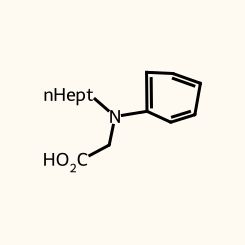 CCCCCCCN(CC(=O)O)c1ccccc1